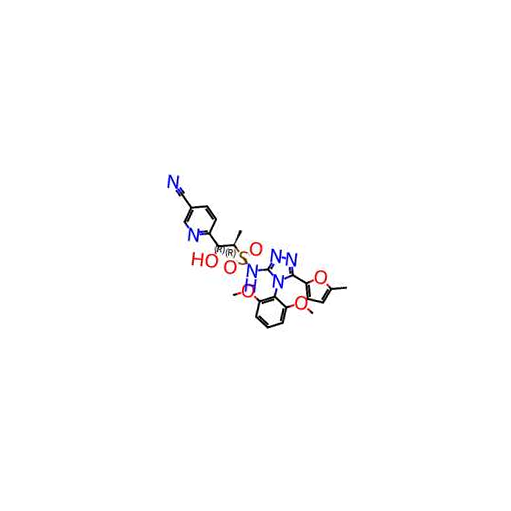 COc1cccc(OC)c1-n1c(NS(=O)(=O)[C@H](C)[C@H](O)c2ccc(C#N)cn2)nnc1-c1ccc(C)o1